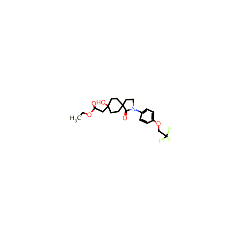 CCOC(=O)CC1(O)CCC2(CCN(c3ccc(OCC(F)(F)F)cc3)C2=O)CC1